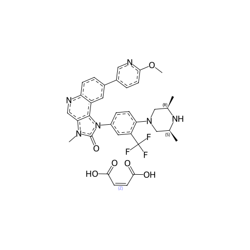 COc1ccc(-c2ccc3ncc4c(c3c2)n(-c2ccc(N3C[C@@H](C)N[C@@H](C)C3)c(C(F)(F)F)c2)c(=O)n4C)cn1.O=C(O)/C=C\C(=O)O